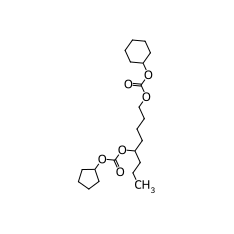 CCCC(CCCCOC(=O)OC1CCCCC1)OC(=O)OC1CCCC1